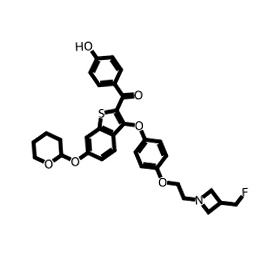 O=C(c1ccc(O)cc1)c1sc2cc(OC3CCCCO3)ccc2c1Oc1ccc(OCCN2CC(CF)C2)cc1